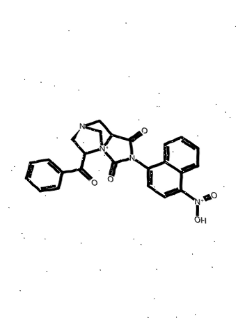 O=C(c1ccccc1)C1C[N@@]2CC3C(=O)N(c4ccc([N+](=O)O)c5ccccc45)C(=O)[N+]13C2